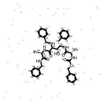 CC(C)[C@H](NC(=O)OCc1ccccc1)C(=O)N[C@@H](Cc1ccccc1)[C@H](O)C(NCc1ccccc1)C(=O)N[C@@H](C(=O)NCc1ccccc1)C(C)C